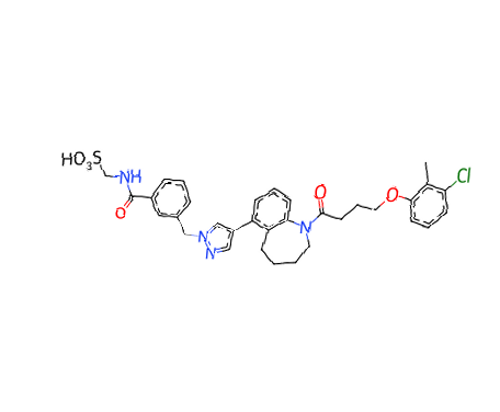 Cc1c(Cl)cccc1OCCCC(=O)N1CCCCc2c(-c3cnn(Cc4cccc(C(=O)NCS(=O)(=O)O)c4)c3)cccc21